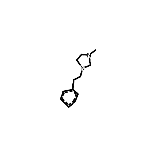 CN1CCN(CCc2ccccc2)C1